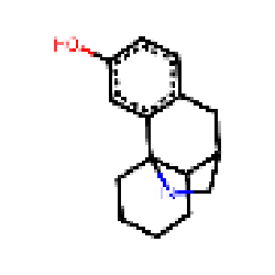 Oc1ccc2c(c1)C13CCCCC1C(CN3)C2